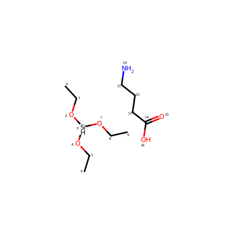 CCO[SiH](OCC)OCC.NCCCC(=O)O